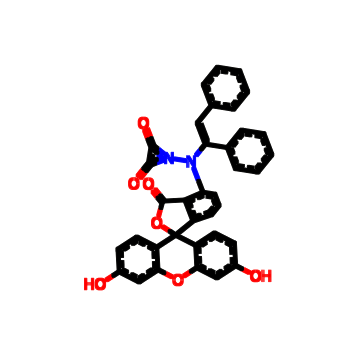 O=C1OC2(c3ccc(O)cc3Oc3cc(O)ccc32)c2cccc(N(C(=Cc3ccccc3)c3ccccc3)n3c(=O)c3=O)c21